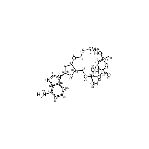 CSSCOC1C[C@H](n2cnc3c(N)ncnc32)O[C@@H]1COP(=O)(O)OP(=O)(O)OP(C)(=O)O